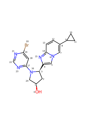 O[C@@H]1C[C@H](c2cn3cc(C4CC4)ccc3n2)N(c2cc(Br)ncn2)C1